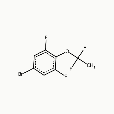 CC(F)(F)Oc1c(F)cc(Br)cc1F